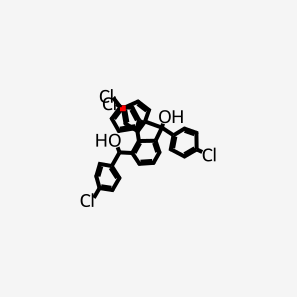 OC(c1ccc(Cl)cc1)c1cccc(C(O)(c2ccc(Cl)cc2)c2ccc(Cl)cc2)c1-c1ccc(Cl)cc1